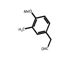 COc1ccc(CC=O)cc1C